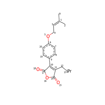 CC(C)=CCOc1ccc(C2=C(CC(C)C)C(=O)OC2=O)cc1